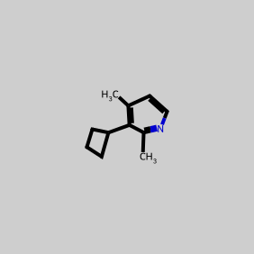 Cc1ccnc(C)c1C1CCC1